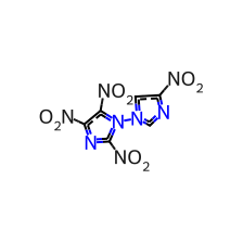 O=[N+]([O-])c1cn(-n2c([N+](=O)[O-])nc([N+](=O)[O-])c2[N+](=O)[O-])cn1